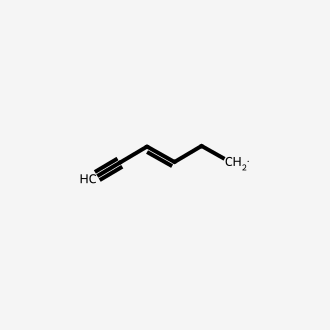 C#C/C=C/C[CH2]